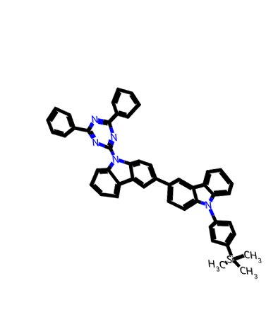 C[Si](C)(C)c1ccc(-n2c3ccccc3c3cc(-c4ccc5c(c4)c4ccccc4n5-c4nc(-c5ccccc5)nc(-c5ccccc5)n4)ccc32)cc1